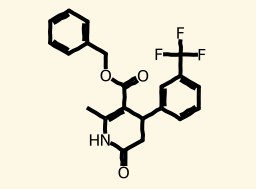 CC1=C(C(=O)OCc2ccccc2)C(c2cccc(C(F)(F)F)c2)CC(=O)N1